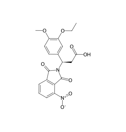 CCOc1cc([C@@H](CC(=O)O)N2C(=O)c3cccc([N+](=O)[O-])c3C2=O)ccc1OC